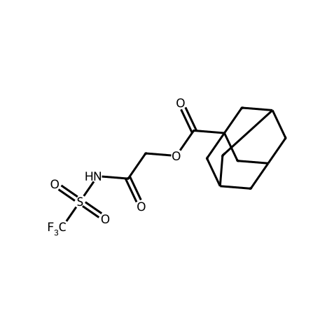 O=C(COC(=O)C12CC3CC(CC(C3)C1)C2)NS(=O)(=O)C(F)(F)F